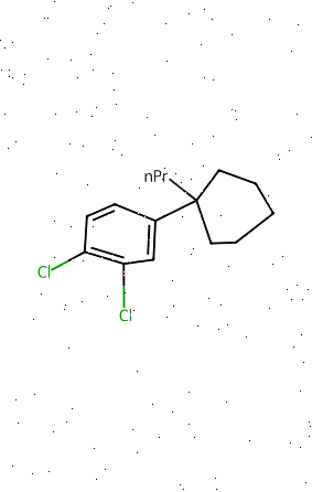 CCCC1(c2ccc(Cl)c(Cl)c2)CCCCC1